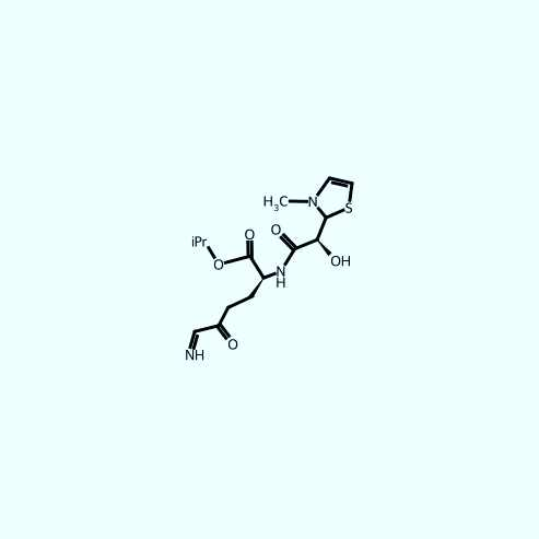 CC(C)OC(=O)[C@H](CCC(=O)C=N)NC(=O)[C@H](O)C1SC=CN1C